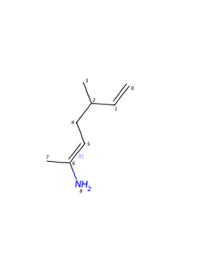 C=CC(C)C/C=C(\C)N